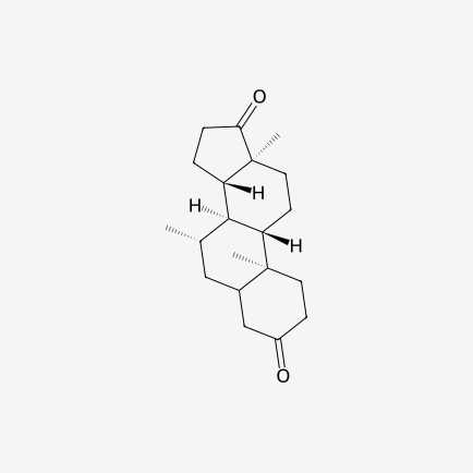 C[C@H]1CC2CC(=O)CC[C@]2(C)[C@H]2CC[C@]3(C)C(=O)CC[C@H]3[C@H]12